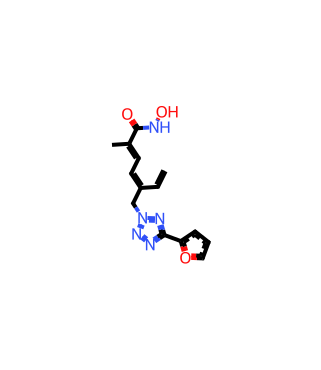 C=C/C(=C\C=C(/C)C(=O)NO)Cn1nnc(-c2ccco2)n1